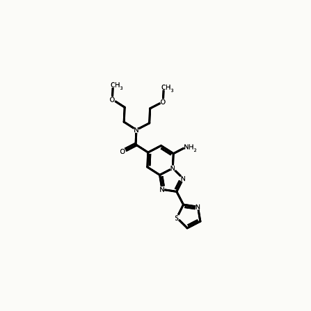 COCCN(CCOC)C(=O)c1cc(N)n2nc(-c3nccs3)nc2c1